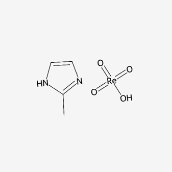 Cc1ncc[nH]1.[O]=[Re](=[O])(=[O])[OH]